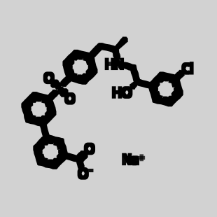 C[C@H](Cc1ccc(S(=O)(=O)c2cccc(-c3cccc(C(=O)[O-])c3)c2)cc1)NC[C@H](O)c1cccc(Cl)c1.[Na+]